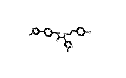 Cn1cc(-c2ccc(NC(=O)C(NCCc3ccc(Cl)cc3)c3cnn(C)c3)nc2)cn1